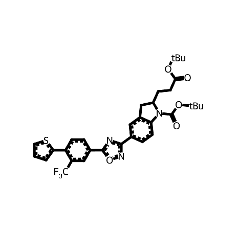 CC(C)(C)OC(=O)CCC1Cc2cc(-c3noc(-c4ccc(-c5cccs5)c(C(F)(F)F)c4)n3)ccc2N1C(=O)OC(C)(C)C